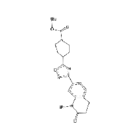 CC(C)N1C(=O)CCc2ccc(-c3noc(C4CCN(C(=O)OC(C)(C)C)CC4)n3)cc21